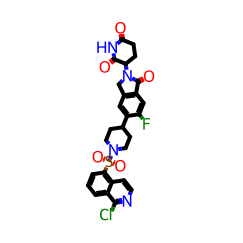 O=C1CCC(N2Cc3cc(C4CCN(S(=O)(=O)c5cccc6c(Cl)nccc56)CC4)c(F)cc3C2=O)C(=O)N1